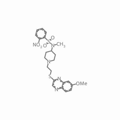 COc1ccc2ncc(SCCN3CCC(N(C)S(=O)(=O)c4ccccc4[N+](=O)[O-])CC3)nc2c1